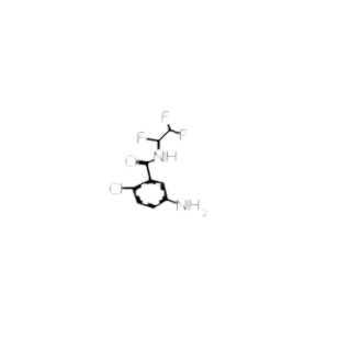 Nc1ccc(Cl)c(C(=O)NC(F)C(F)F)c1